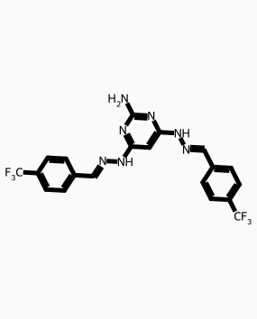 Nc1nc(NN=Cc2ccc(C(F)(F)F)cc2)cc(NN=Cc2ccc(C(F)(F)F)cc2)n1